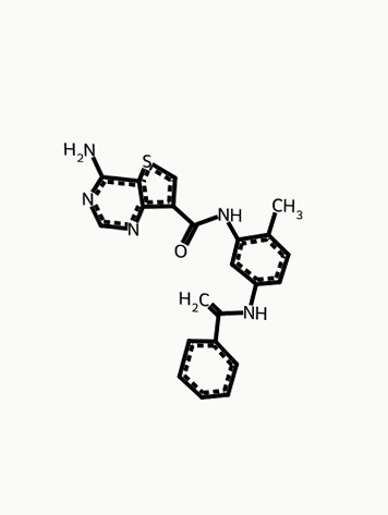 C=C(Nc1ccc(C)c(NC(=O)c2csc3c(N)ncnc23)c1)c1ccccc1